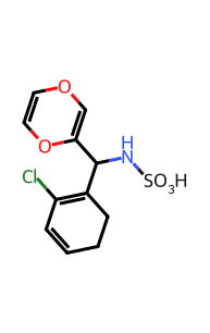 O=S(=O)(O)NC(C1=COC=CO1)C1=C(Cl)C=CCC1